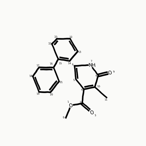 COC(=O)c1cc[nH]c(=O)c1C.c1ccc(-c2ccccc2)cc1